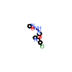 Clc1ccc(C(OC2CCN(CCNc3nc4ccccc4o3)CC2)c2ccccn2)cc1